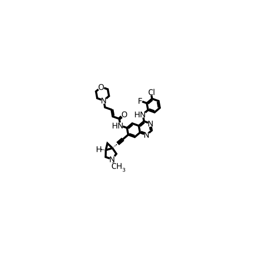 CN1C[C@H]2C[C@@]2(C#Cc2cc3ncnc(Nc4cccc(Cl)c4F)c3cc2NC(=O)/C=C/CN2CCOCC2)C1